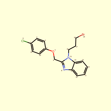 Clc1ccc(OCc2nc3ccccc3n2CCCBr)cc1